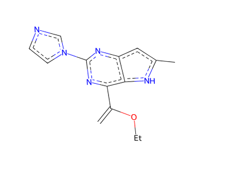 C=C(OCC)c1nc(-n2ccnc2)nc2cc(C)[nH]c12